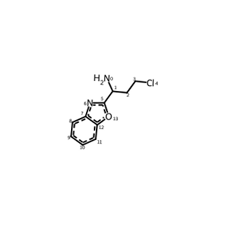 NC(CCCl)c1nc2ccccc2o1